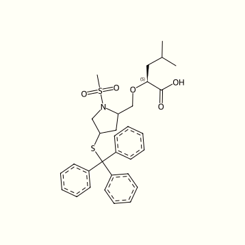 CC(C)C[C@H](OCC1CC(SC(c2ccccc2)(c2ccccc2)c2ccccc2)CN1S(C)(=O)=O)C(=O)O